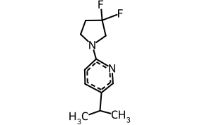 CC(C)c1ccc(N2CCC(F)(F)C2)nc1